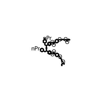 C=CC(=C)OCCCOC1CCC(C(=O)Oc2ccc(C(C#CC(CC3CCC(CCC)CC3)c3ccc(OC(=O)C4CCC(OCCCOC(=O)C=C)CC4)cc3)CC3CCC(CCC)CC3)cc2)CC1